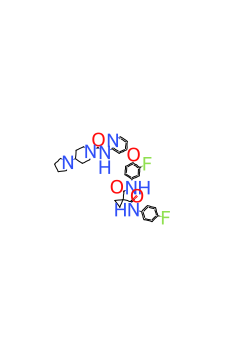 O=C(Nc1cc(Oc2ccc(NC(=O)C3(C(=O)Nc4ccc(F)cc4)CC3)cc2F)ccn1)N1CCC(N2CCCC2)CC1